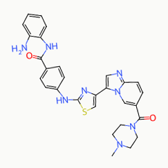 CN1CCN(C(=O)c2ccc3ncc(-c4csc(Nc5ccc(C(=O)Nc6ccccc6N)cc5)n4)n3c2)CC1